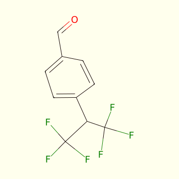 O=Cc1ccc(C(C(F)(F)F)C(F)(F)F)cc1